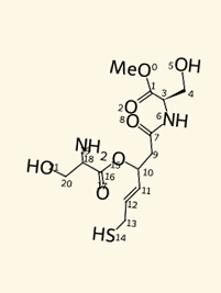 COC(=O)[C@@H](CO)NC(=O)CC(/C=C/CS)OC(=O)C(N)CO